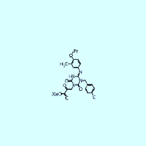 COC(=O)C(=O)Cn1c(=O)[nH]/c(=N\c2ccc(OC(C)C)c(C)c2)n(Cc2ccc(Cl)cc2)c1=O